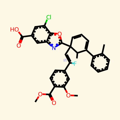 COC(=O)c1ccc(/C(F)=C/C2(c3nc4cc(C(=O)O)cc(Cl)c4o3)C=CC=C(c3ccccc3C)C2C)cc1OC